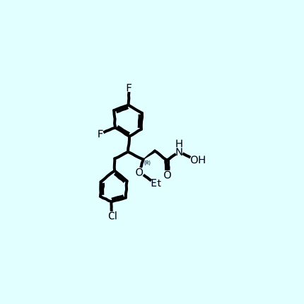 CCO[C@H](CC(=O)NO)C(Cc1ccc(Cl)cc1)c1ccc(F)cc1F